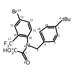 CC(C)(C)c1ccc(CN(C(=O)C(=O)O)c2ccc(Br)cc2C(F)(F)F)cc1